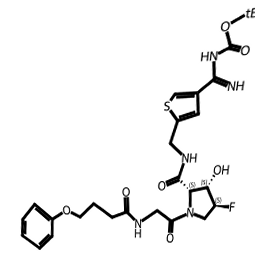 CC(C)(C)OC(=O)NC(=N)c1csc(CNC(=O)[C@@H]2[C@H](O)[C@@H](F)CN2C(=O)CNC(=O)CCCOc2ccccc2)c1